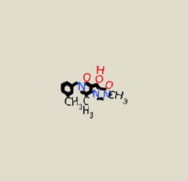 Cc1cccc(Cn2cc(C)c3c(c(O)c4n3CCN(C)C4=O)c2=O)c1